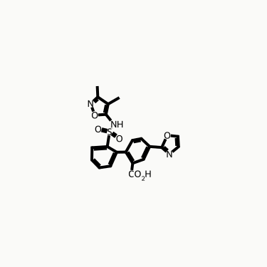 Cc1noc(NS(=O)(=O)c2ccccc2-c2ccc(-c3ncco3)cc2C(=O)O)c1C